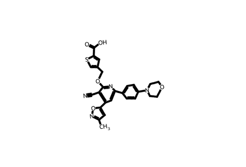 Cc1cc(-c2cc(-c3ccc(N4CCOCC4)cc3)nc(OCc3csc(C(=O)O)c3)c2C#N)on1